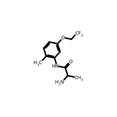 Cc1ccc(OCC(F)(F)F)cc1NC(=O)C(C)N